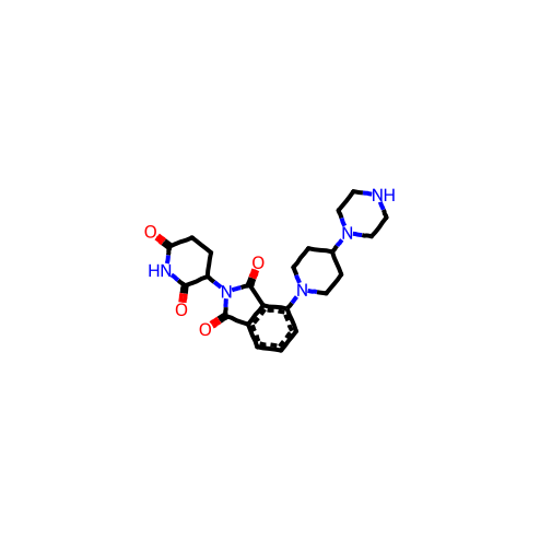 O=C1CCC(N2C(=O)c3cccc(N4CCC(N5CCNCC5)CC4)c3C2=O)C(=O)N1